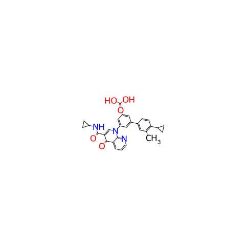 Cc1cc(-c2cccc(-n3cc(C(=O)NC4CC4)c(=O)c4cccnc43)c2)ccc1C1CC1.O=C(O)O